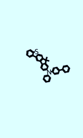 CC1(C)c2cc(N(c3ccccc3)c3ccc(-c4ccccc4)cc3)ccc2-c2cc3c(cc21)sc1ccccc13